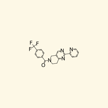 O=C(c1ccc(C(F)(F)F)cc1)N1CCc2nc(-c3ccccn3)ncc2C1